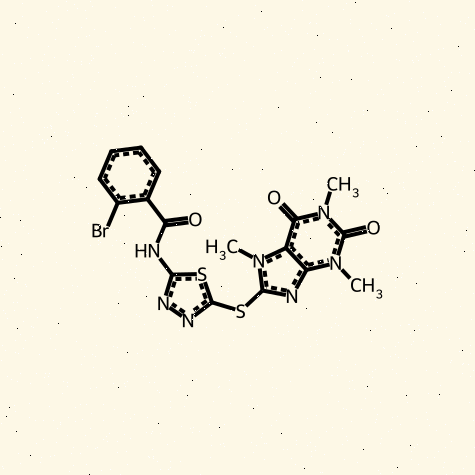 Cn1c(=O)c2c(nc(Sc3nnc(NC(=O)c4ccccc4Br)s3)n2C)n(C)c1=O